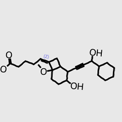 COC12CCC(O)C(C#CC(O)C3CCCCC3)C1C/C2=C/CCCC(=O)O